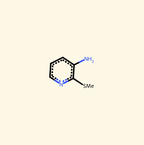 CSc1ncccc1N